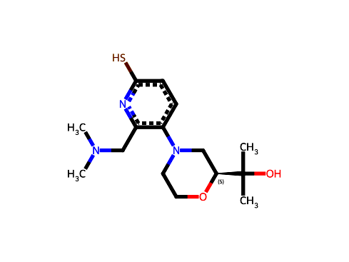 CN(C)Cc1nc(S)ccc1N1CCO[C@H](C(C)(C)O)C1